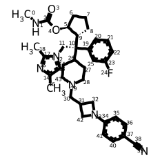 CNC(=O)O[C@H]1CCC[C@@H]1[C@@](Cn1cc(C)nc1C)(c1cccc(F)c1)C1CCN(CC2CN(c3ccc(C#N)cc3)C2)CC1